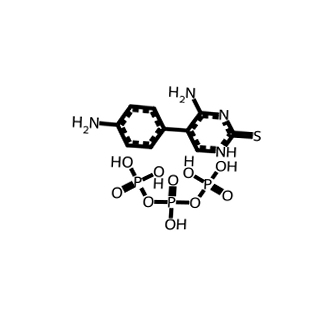 Nc1ccc(-c2c[nH]c(=S)nc2N)cc1.O=P(O)(O)OP(=O)(O)OP(=O)(O)O